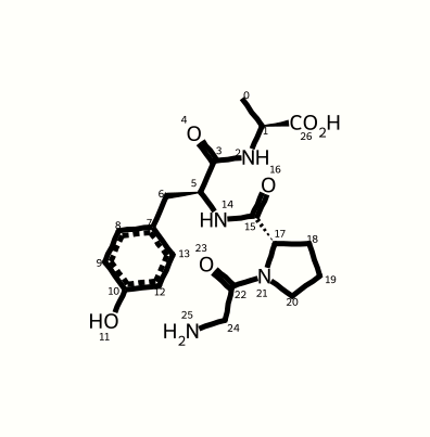 C[C@H](NC(=O)[C@H](Cc1ccc(O)cc1)NC(=O)[C@@H]1CCCN1C(=O)CN)C(=O)O